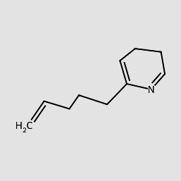 C=CCCCC1=CCCC=N1